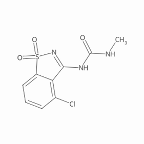 CNC(=O)NC1=NS(=O)(=O)c2cccc(Cl)c21